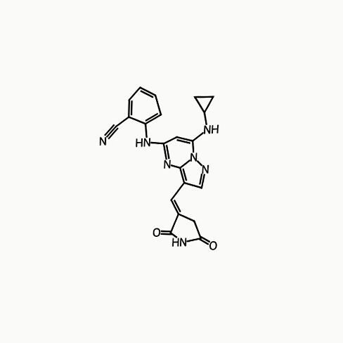 N#Cc1ccccc1Nc1cc(NC2CC2)n2ncc(C=C3CC(=O)NC3=O)c2n1